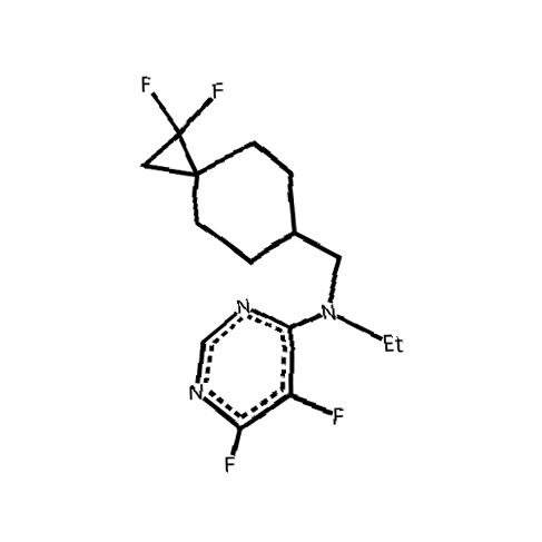 CCN(CC1CCC2(CC1)CC2(F)F)c1ncnc(F)c1F